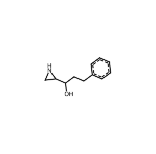 OC(CCc1ccccc1)C1CN1